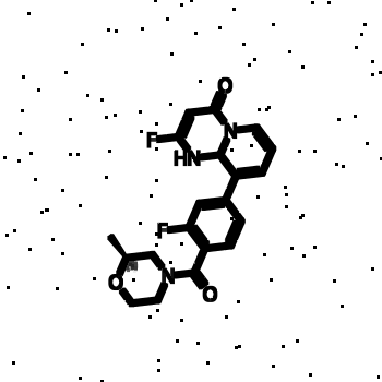 C[C@H]1CN(C(=O)c2ccc(C3=CC=CN4C(=O)C=C(F)NC34)cc2F)CCO1